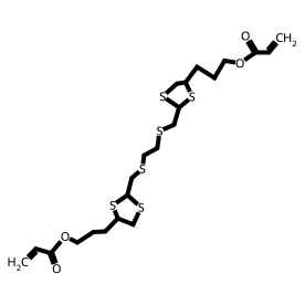 C=CC(=O)OCCCC1CSC(CSCCSCC2SCC(CCCOC(=O)C=C)S2)S1